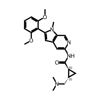 COc1cccc(OC)c1-c1cc2cc(NC(=O)[C@H]3C[C@@H]3CN(C)C)ncc2n1C